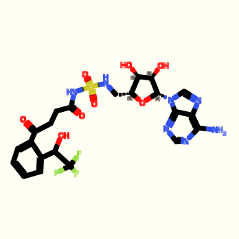 Nc1ncnc2c1ncn2[C@@H]1O[C@H](CNS(=O)(=O)NC(=O)CCC(=O)c2ccccc2C(O)C(F)(F)F)[C@@H](O)[C@H]1O